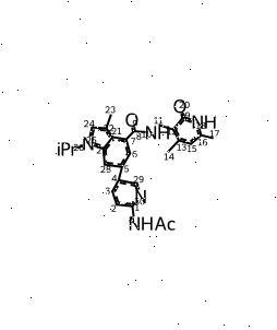 CC(=O)Nc1ccc(-c2cc(C(=O)NCc3c(C)cc(C)[nH]c3=O)c3c(C)cn(C(C)C)c3c2)cn1